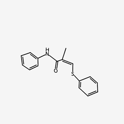 CC(=CSc1ccccc1)C(=O)Nc1ccccc1